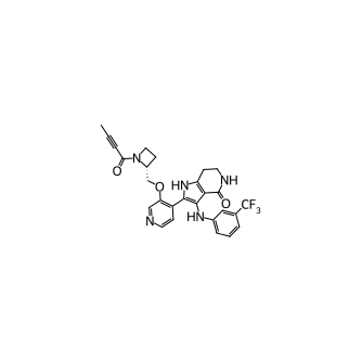 CC#CC(=O)N1CC[C@@H]1COc1cnccc1-c1[nH]c2c(c1Nc1cccc(C(F)(F)F)c1)C(=O)NCC2